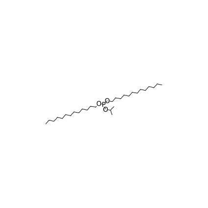 CCCCCCCCCCCCCOP(OCCCCCCCCCCCCC)OC(C)C